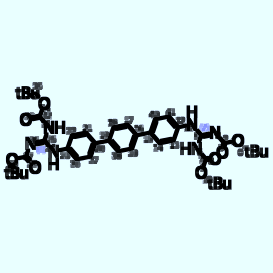 CC(C)(C)OC(=O)/N=C(\NC(=O)OC(C)(C)C)Nc1ccc(-c2ccc(-c3ccc(N/C(=N\C(=O)OC(C)(C)C)NC(=O)OC(C)(C)C)cc3)cc2)cc1